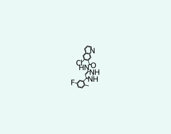 CN/C(=C\C(=N)c1cc(F)ccc1C)NC(=O)c1cc2ncccc2cc1Cl